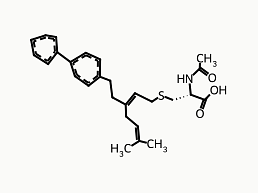 CC(=O)N[C@@H](CSCC=C(CC=C(C)C)CCc1ccc(-c2ccccc2)cc1)C(=O)O